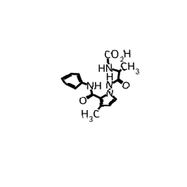 Cc1ccn(NC(=O)C(C)NC(=O)O)c1C(=O)Nc1ccccc1